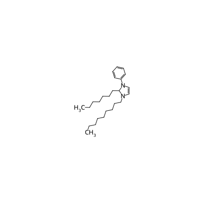 CCCCCCCCCN1C=CN(c2ccccc2)C1CCCCCCC